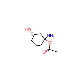 CC(=O)OC1(N)CCC[C@H](O)C1